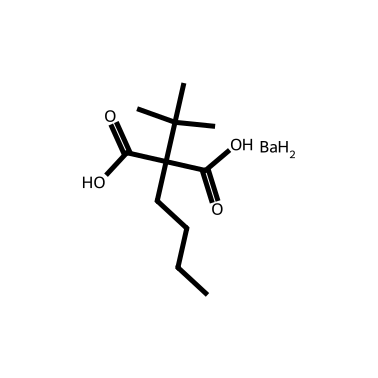 CCCCC(C(=O)O)(C(=O)O)C(C)(C)C.[BaH2]